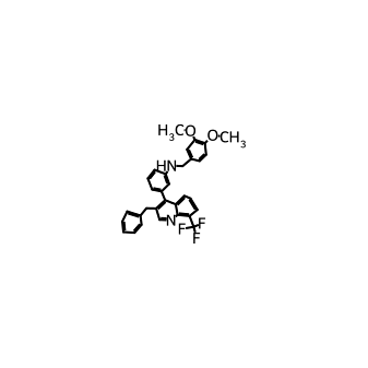 COc1ccc(CNc2cccc(-c3c(Cc4ccccc4)cnc4c(C(F)(F)F)cccc34)c2)cc1OC